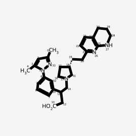 Cc1cc(C)n(-c2cccc(C(CC(=O)O)CN3CC[C@H](CCc4ccc5c(n4)NCCC5)C3)c2)n1